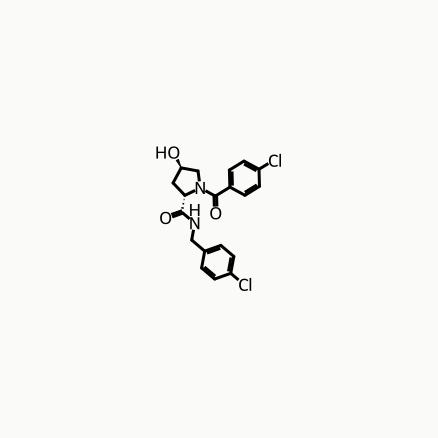 O=C(NCc1ccc(Cl)cc1)[C@@H]1C[C@@H](O)CN1C(=O)c1ccc(Cl)cc1